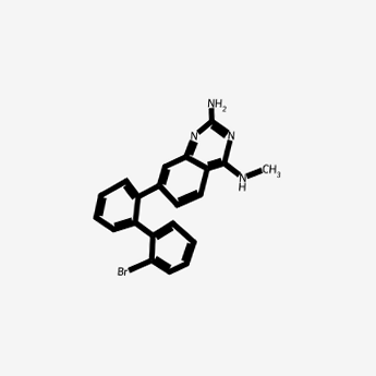 CNc1nc(N)nc2cc(-c3ccccc3-c3ccccc3Br)ccc12